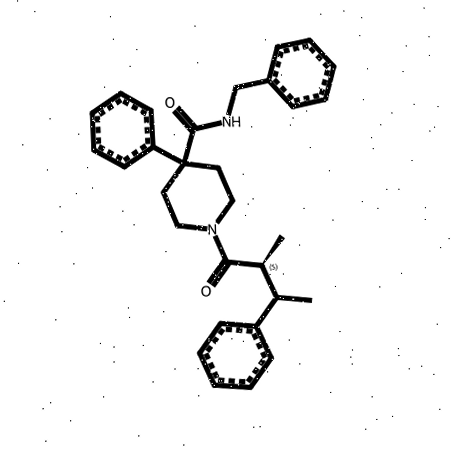 CC(c1ccccc1)[C@H](C)C(=O)N1CCC(C(=O)NCc2ccccc2)(c2ccccc2)CC1